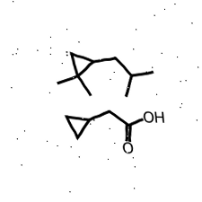 CC(C)CC1[C]C1(C)C.O=C(O)C[C]1CC1